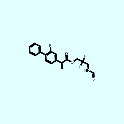 CC(C(=O)OCC(F)(F)CNC=S)c1ccc(-c2ccccc2)c(F)c1